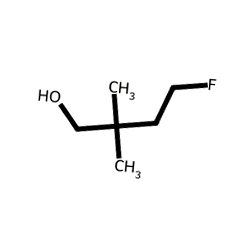 CC(C)(CO)CCF